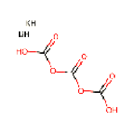 O=C(O)OC(=O)OC(=O)O.[KH].[LiH]